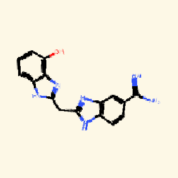 N=C(N)c1ccc2[nH]c(Cc3nc4c(O)cccc4[nH]3)nc2c1